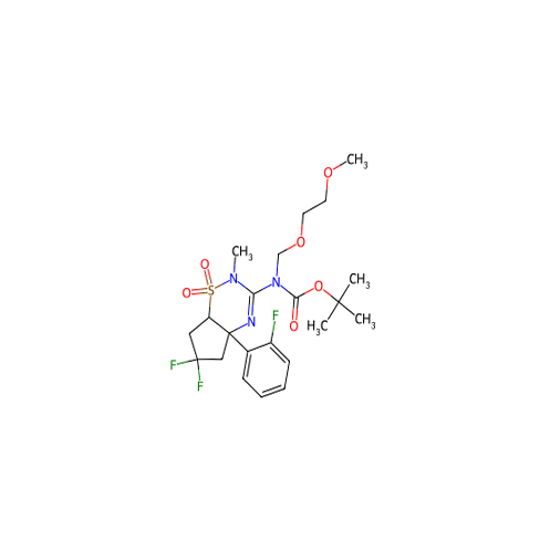 COCCOCN(C(=O)OC(C)(C)C)C1=NC2(c3ccccc3F)CC(F)(F)CC2S(=O)(=O)N1C